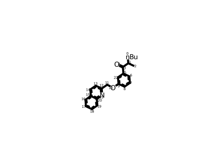 CCCCC(C)C(=O)c1cccc(OCc2ccc3ccccc3n2)c1